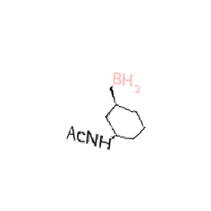 BC[C@H]1CCC[C@@H](NC(C)=O)C1